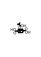 C=C(C)C(O)OC12CC3CC(C(=O)O)(C1)CC(C(=O)O)(C3)C2